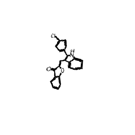 O=C1/C(=C/c2c(-c3ccc(Cl)cc3)[nH]c3ccccc23)Oc2ccccc21